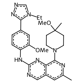 CCn1cnnc1-c1ccc(Nc2ncc3cc(C)nc(N4CCC(C)(OC)CC4)c3n2)c(OC)c1